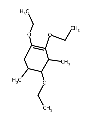 CCOC1=C(OCC)C(C)C(OCC)C(C)C1